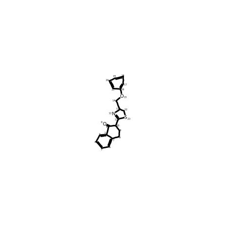 O=C1c2ccccc2CCC1C1=NC(COc2ccccc2)CS1